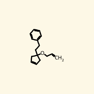 C=CCOC1(CCc2ccccc2)CC=CC1